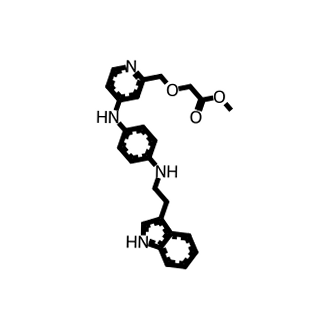 COC(=O)COCc1cc(Nc2ccc(NCCc3c[nH]c4ccccc34)cc2)ccn1